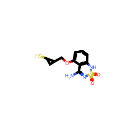 NC1=NS(=O)(=O)Nc2cccc(OCC3CC3S)c21